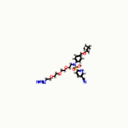 CC(C)(C)[Si](C)(C)OCc1ccc(N(CCOCCOCCOCCN=[N+]=[N-])S(=O)(=O)c2ccc(C#N)cn2)cc1